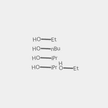 CC(C)O.CC(C)O.CCCCO.CCO.CCO